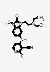 CCN(CC)CCn1c(=O)n(C)c2ccc(Nc3ccnc(Cl)c3C#N)cc21